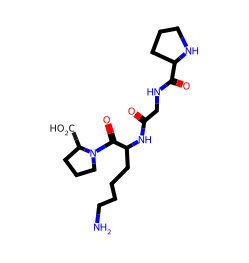 NCCCCC(NC(=O)CNC(=O)C1CCCN1)C(=O)N1CCCC1C(=O)O